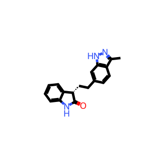 Cc1n[nH]c2cc(CC[C@@H]3C(=O)Nc4ccccc43)ccc12